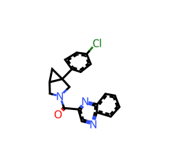 O=C(c1cnc2ccccc2n1)N1CC2CC2(c2ccc(Cl)cc2)C1